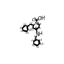 O=C(O)N1CCC(NCc2ccccc2)CC1Cc1ccccc1